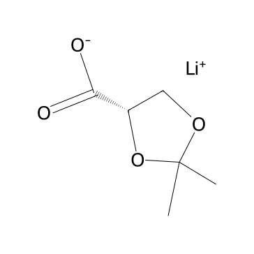 CC1(C)OC[C@@H](C(=O)[O-])O1.[Li+]